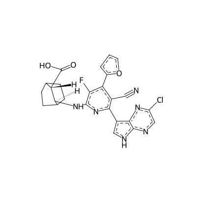 N#Cc1c(-c2c[nH]c3ncc(Cl)nc23)nc(N[C@H]2C3CCC(CC3)[C@@H]2C(=O)O)c(F)c1-c1ccco1